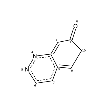 O=C1C=c2nnccc2=CC1